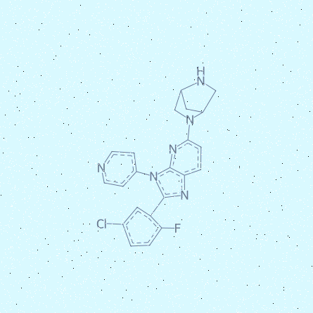 Fc1ccc(Cl)cc1-c1nc2ccc(N3CC4CC3CN4)nc2n1-c1ccncc1